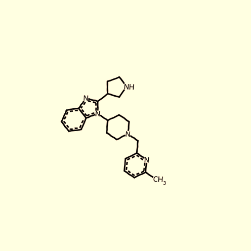 Cc1cccc(CN2CCC(n3c(C4CCNC4)nc4ccccc43)CC2)n1